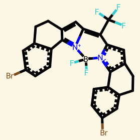 F[B-]1(F)n2c(cc3c2-c2ccc(Br)cc2CC3)C(C(F)(F)F)=C2C=C3CCc4cc(Br)ccc4C3=[N+]21